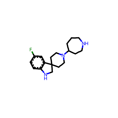 Fc1ccc2c(c1)C1(CCN(C3CCCNCC3)CC1)CN2